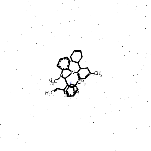 C=CC(/C(=C(/C)S)C1N(C)c2ccccc2N1C1=C(C2C=CC=CC2)C=C(C)CC1C1CC=CCC1)C(C)CC